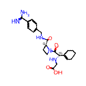 N=C(N)c1ccc(CNC(=O)[C@@H]2CCN2C(=O)[C@@H](NCC(=O)O)C2=CCCCC2)cc1